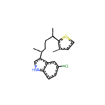 Cc1ccsc1C(C)CCC(C)c1c[nH]c2ccc(Cl)cc12